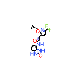 O=C(/C=C/c1ccc(C(F)F)nc1OCC1CC1)Nc1cccc2[nH]c(=O)[nH]c12